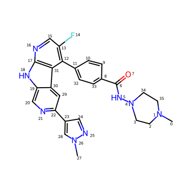 CN1CCN(NC(=O)c2ccc(-c3c(F)cnc4[nH]c5cnc(-c6cnn(C)c6)cc5c34)cc2)CC1